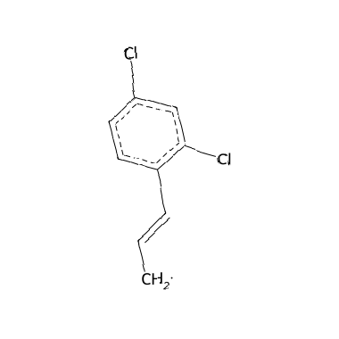 [CH2]C=Cc1ccc(Cl)cc1Cl